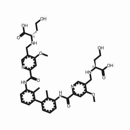 COc1cc(C(=O)Nc2cccc(-c3cccc(NC(=O)c4cc(OC)c(CN[C@@H](CCO)C(=O)O)cn4)c3C)c2C)ncc1CN[C@@H](CCO)C(=O)O